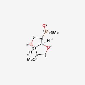 COC1CO[C@@H]2C([S+]([O-])SC)CO[C@H]12